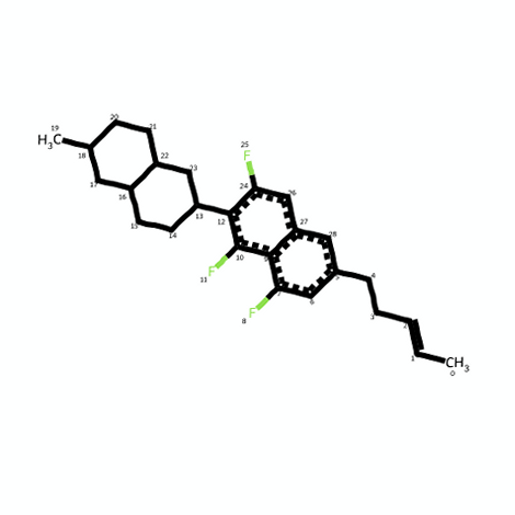 CC=CCCc1cc(F)c2c(F)c(C3CCC4CC(C)CCC4C3)c(F)cc2c1